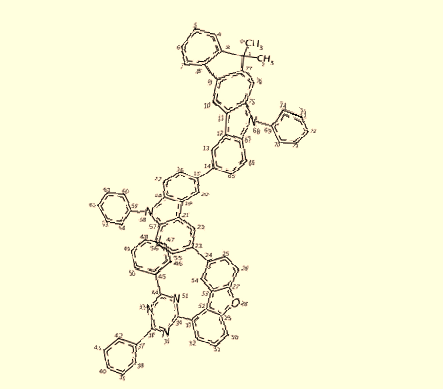 CC1(C)c2ccccc2-c2cc3c4cc(-c5ccc6c(c5)c5cc(-c7ccc8oc9cccc(-c%10nc(-c%11ccccc%11)nc(-c%11ccccc%11)n%10)c9c8c7)ccc5n6-c5ccccc5)ccc4n(-c4ccccc4)c3cc21